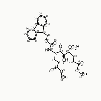 C=C(C(=O)[C@H](CCC(=O)OC(C)(C)C)NC(=O)OCC1c2ccccc2-c2ccccc21)[C@@H](CCC(=O)OC(C)(C)C)C(=O)O